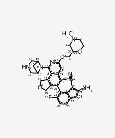 CN1CCO[C@@H](COc2nc(N3C4CNCC3C4)c3c4c(c(-c5c(F)ccc6sc(N)c(C#N)c56)c(F)c3n2)COC4)C1